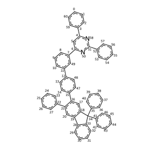 c1ccc(-c2cc(-c3cccc(-c4ccc(-c5cc6c(cc5-c5ccccc5)-c5ccccc5C6(c5ccccc5)c5ccccc5)cc4)c3)nc(-c3ccccc3)n2)cc1